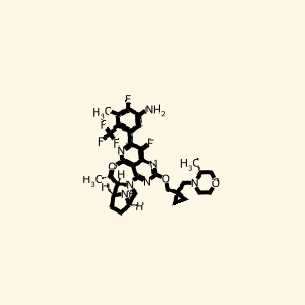 Cc1c(F)c(N)cc(-c2nc3c4c(nc(OCC5(CN6CCOC[C@H]6C)CC5)nc4c2F)N2C[C@H]4CC[C@H](N4)[C@H]2[C@H](C)O3)c1C(F)(F)F